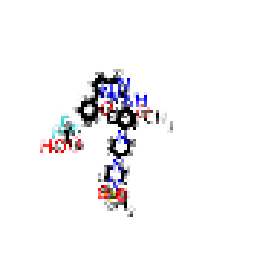 COc1cc(N2CCC(N3CCN(S(C)(=O)=O)CC3)CC2)ccc1Nc1ncc2ccc(-c3ccccc3OC)n2n1.O=C(O)C(F)(F)F